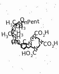 CCCCCC(=O)NCC(C)(C)COCC(C)(C)CNC(=O)CCc1ccc(CC2CN(CC(=O)O)CCN(CC(=O)O)CCN(CC(=O)O)CCN2CC(=O)O)cc1